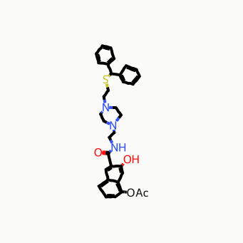 CC(=O)Oc1cccc2cc(C(=O)NCCN3CCN(CCSC(c4ccccc4)c4ccccc4)CC3)c(O)cc12